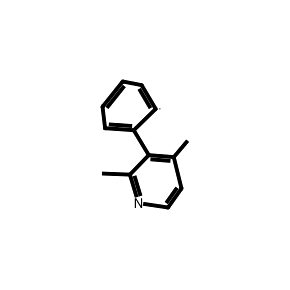 Cc1ccnc(C)c1-c1[c]cccc1